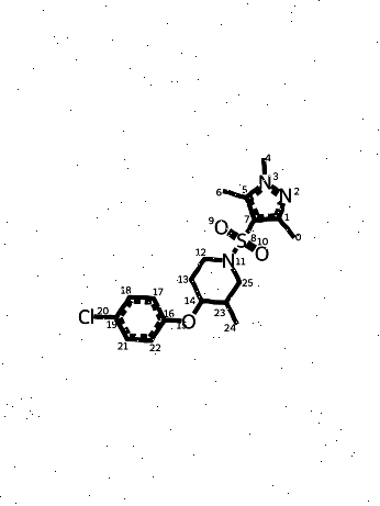 Cc1nn(C)c(C)c1S(=O)(=O)N1CCC(Oc2ccc(Cl)cc2)C(C)C1